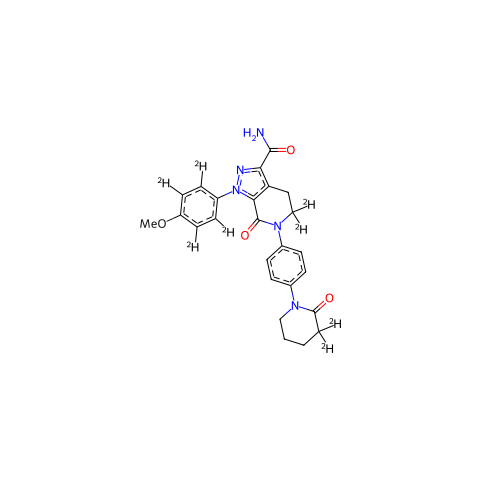 [2H]c1c([2H])c(-n2nc(C(N)=O)c3c2C(=O)N(c2ccc(N4CCCC([2H])([2H])C4=O)cc2)C([2H])([2H])C3)c([2H])c([2H])c1OC